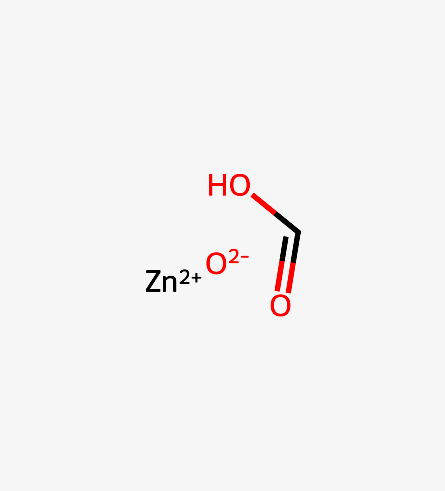 O=CO.[O-2].[Zn+2]